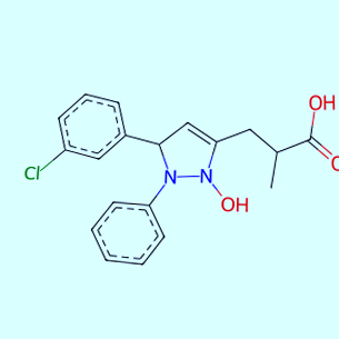 CC(CC1=CC(c2cccc(Cl)c2)N(c2ccccc2)N1O)C(=O)O